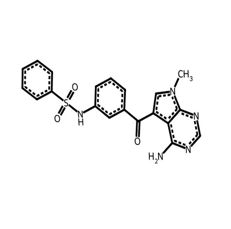 Cn1cc(C(=O)c2cccc(NS(=O)(=O)c3ccccc3)c2)c2c(N)ncnc21